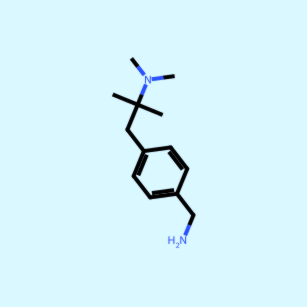 CN(C)C(C)(C)Cc1ccc(CN)cc1